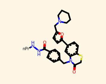 CCCNNC(=O)c1ccc(CN2C(=O)CSc3ccc(-c4ccc(CN5CCCCC5)o4)cc32)cc1